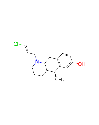 C[C@@H]1c2cc(O)ccc2CC2C1CCCN2C/C=C/Cl